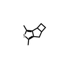 Cc1sc(C)c2c1CC1CCC21